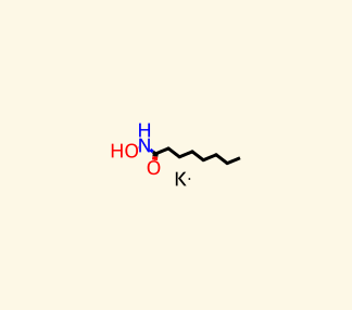 CCCCCCCC(=O)NO.[K]